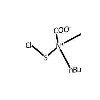 CCCC[N+](C)(SCl)C(=O)[O-]